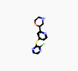 Clc1nccnc1Sc1ccnc(C2CNCCO2)c1